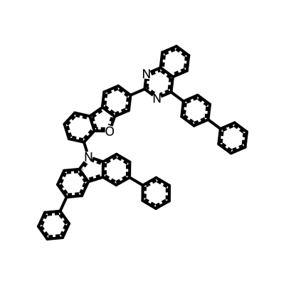 c1ccc(-c2ccc(-c3nc(-c4ccc5c(c4)oc4c(-n6c7ccc(-c8ccccc8)cc7c7cc(-c8ccccc8)ccc76)cccc45)nc4ccccc34)cc2)cc1